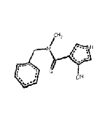 CN(Cc1ccccc1)C(=O)c1c[nH]cc1C#N